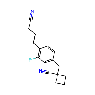 N#CCCCc1ccc(CC2(C#N)CCC2)cc1F